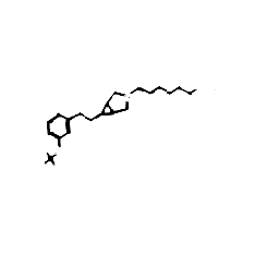 CCCCCCCN1CC2C(C[CH]c3cccc(OC(F)(F)F)c3)C2C1